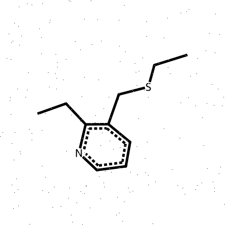 CCSCc1cccnc1CC